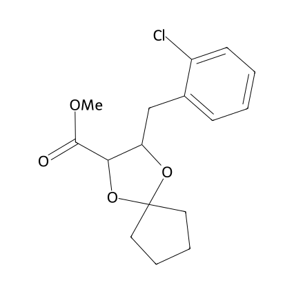 COC(=O)C1OC2(CCCC2)OC1Cc1ccccc1Cl